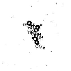 CCc1cccc(CNC[C@@H](O)[C@H](Cc2cc(F)cc(F)c2)NC(=O)c2cnc3cc(OC)ccc3c2O)c1